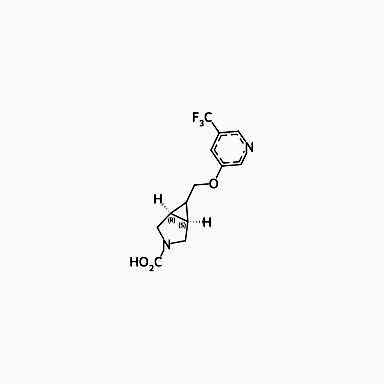 O=C(O)N1C[C@@H]2C(COc3cncc(C(F)(F)F)c3)[C@@H]2C1